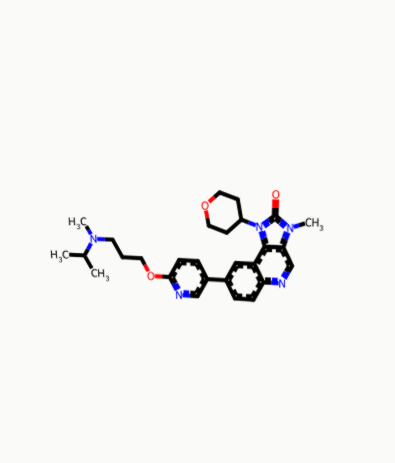 CC(C)N(C)CCCOc1ccc(-c2ccc3ncc4c(c3c2)n(C2CCOCC2)c(=O)n4C)cn1